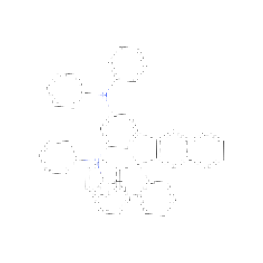 c1ccc(N(c2ccccc2)c2cc3c(c(N(c4ccccc4)c4ccccc4)c2)C2(c4ccccc4-c4ccccc42)c2cc4ccccc4cc2-3)cc1